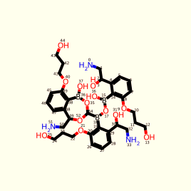 NCC(O)c1cccc(OCCCO)c1B(O)OB(c1c(OCCCO)cccc1C(O)CN)C1OB(O)c2c(OCCCO)cccc2C(CN)O1